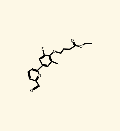 CCOC(=O)CCCOc1c(F)cc(-c2cccc(C=O)n2)cc1F